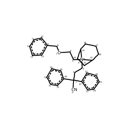 N#CC(CC[N+]1(CCOCc2ccccc2)C2CCCC1CC2)(c1ccccc1)c1ccccc1